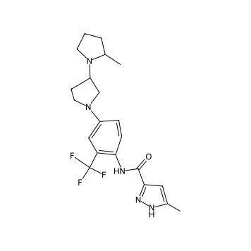 Cc1cc(C(=O)Nc2ccc(N3CCC(N4CCCC4C)C3)cc2C(F)(F)F)n[nH]1